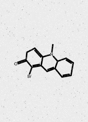 CN1C2=CCC(=O)C(Br)=C2C=C2C=CC=CC21